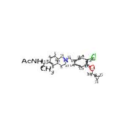 CC(=O)NC(C)c1ccc2c(c1)CCN(Cc1ccc(OCC3CC3)c(Cl)c1)C2